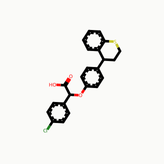 O=C(O)C(Oc1ccc(C2CCSc3ccccc32)cc1)c1ccc(Cl)cc1